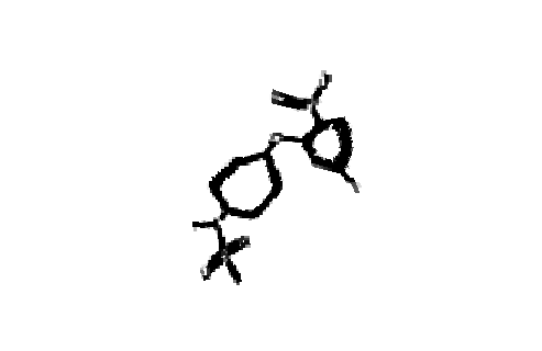 CN([C@H]1CC[C@@H](Oc2cc(F)ccc2[N+](=O)[O-])CC1)S(C)(=O)=O